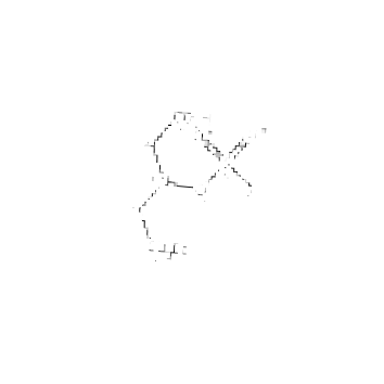 CCOC(=O)CN(CC(=O)O)OS(C)(=O)=O